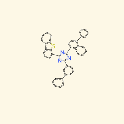 c1ccc(-c2cccc(-c3nc(-c4ccc(-c5ccccc5)c5ccccc45)nc(-c4cccc5c4sc4ccccc45)n3)c2)cc1